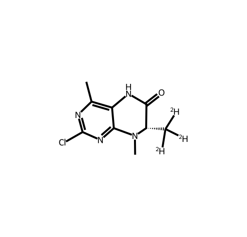 [2H]C([2H])([2H])[C@H]1C(=O)Nc2c(C)nc(Cl)nc2N1C